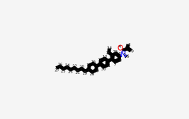 C=C(C)C(=O)N(C)c1ccc(-c2ccc(C3CCC(CCCCCCCCC)CC3)cc2)c(CC)c1